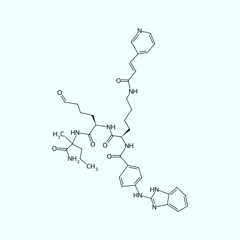 CCCC(C)(NC(=O)[C@@H](CCCC=O)NC(=O)[C@@H](CCCCNC(=O)/C=C/c1cccnc1)NC(=O)c1ccc(Nc2nc3ccccc3[nH]2)cc1)C(N)=O